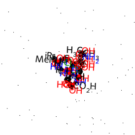 CN[C@H](CC(C)C)C(=O)N[C@H]1C(=O)N[C@H](C(=O)O)CC(=O)N[C@H]2C(=O)N[C@H]3C(=O)N[C@H](C(=O)N[C@@H](C(=O)O)c4cc(O)cc(O)c4-c4cc3ccc4O)[C@H](O)c3ccc(c(Cl)c3)Oc3cc2cc(c3O[C@@H]2O[C@@H](CO)[C@@H](O)[C@H](O)[C@@H]2O[C@@H]2C[C@](C)(N)[C@H](O)[C@@H](C)O2)Oc2ccc(cc2Cl)[C@H]1O